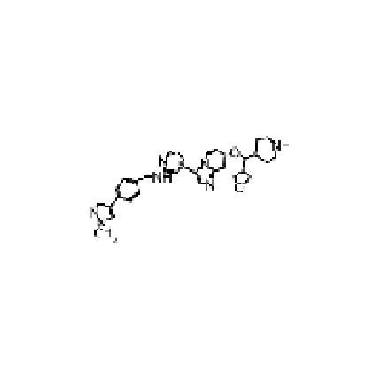 Cn1cc(-c2ccc(CNc3cc(-c4cnc5cc(OC(C6CCNCC6)C6COC6)ccn45)ncn3)cc2)cn1